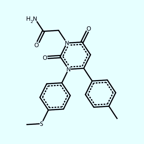 CSc1ccc(-n2c(-c3ccc(C)cc3)cc(=O)n(CC(N)=O)c2=O)cc1